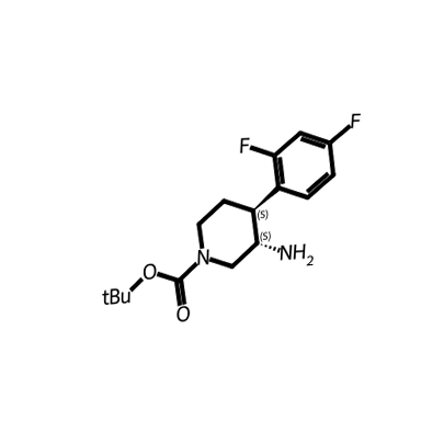 CC(C)(C)OC(=O)N1CC[C@@H](c2ccc(F)cc2F)[C@H](N)C1